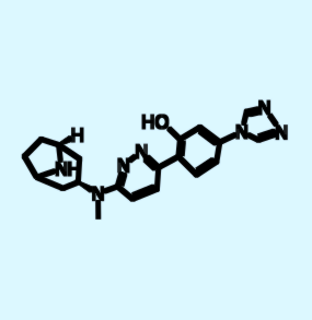 CN(c1ccc(-c2ccc(-n3cnnc3)cc2O)nn1)[C@H]1CC2CC[C@H](C1)N2